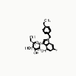 CCc1ccc(Cn2cc([C@@H]3O[C@H](CO)[C@@H](O)[C@H](O)[C@H]3O)c3ccc(F)cc32)cc1